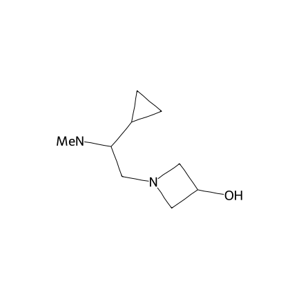 CNC(CN1CC(O)C1)C1CC1